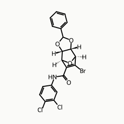 O=C(Nc1ccc(Cl)c(Cl)c1)C1=C(Br)[C@H]2O[C@@H]1[C@@H]1OC(c3ccccc3)O[C@@H]12